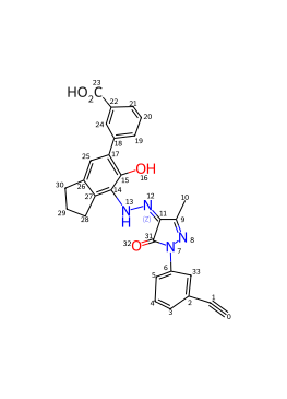 C#Cc1cccc(N2N=C(C)/C(=N/Nc3c(O)c(-c4cccc(C(=O)O)c4)cc4c3CCC4)C2=O)c1